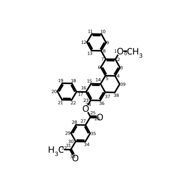 COc1cc2c(cc1-c1ccccc1)-c1cc(-c3ccccc3)c(OC(=O)c3ccc(C(C)=O)cc3)cc1CC2